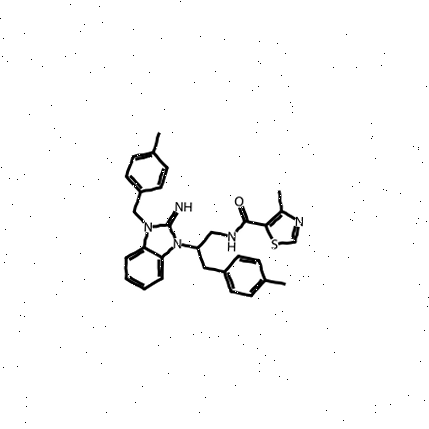 Cc1ccc(CC(CNC(=O)c2scnc2C)n2c(=N)n(Cc3ccc(C)cc3)c3ccccc32)cc1